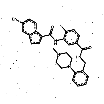 CN1CCN(c2ccccc2CNC(=O)c2ccc(F)c(NC(=O)c3cnc4cc(Br)ccn34)c2)CC1